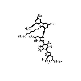 CC#Cc1cc(C(C)(C)C)cc2c3cc(C(C)(C)C)cc(C#Cc4sc(-c5c6c(c(-c7cc(CC(C)CCCCCC)c(C)s7)c7nsnc57)N=S=N6)cc4CC(CCCC)CCCCCC)c3n(CCCCCCCCCCCCCCCC)c12